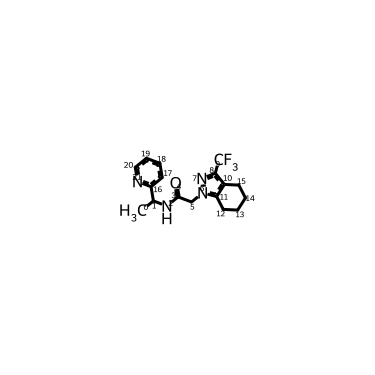 CC(NC(=O)Cn1nc(C(F)(F)F)c2c1CCCC2)c1ccccn1